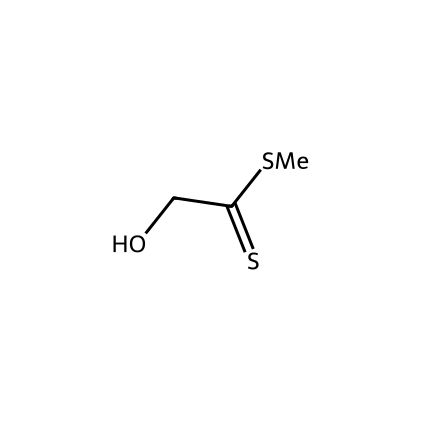 CSC(=S)CO